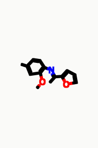 COc1cc(C)ccc1N=C(C)c1ccco1